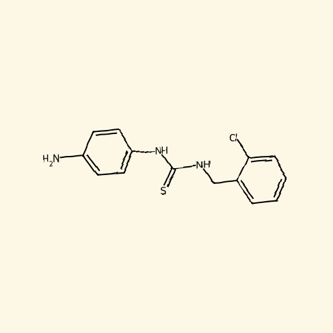 Nc1ccc(NC(=S)NCc2ccccc2Cl)cc1